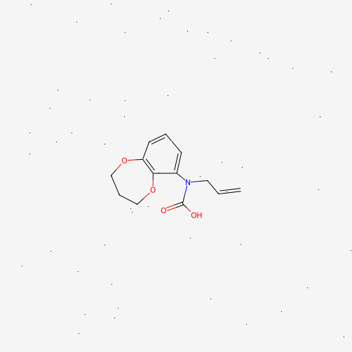 C=CCN(C(=O)O)c1cccc2c1OCCCO2